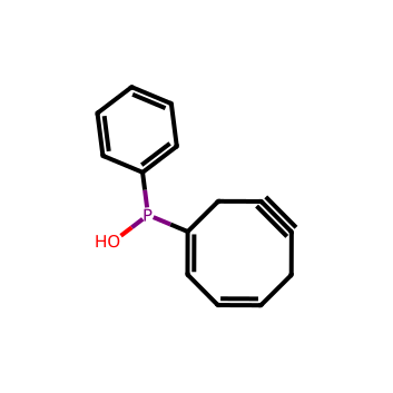 OP(/C1=C/C=C\CC#CC1)c1ccccc1